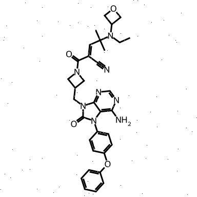 CCN(C1COC1)C(C)(C)C=C(C#N)C(=O)N1CC(Cn2c(=O)n(-c3ccc(Oc4ccccc4)cc3)c3c(N)ncnc32)C1